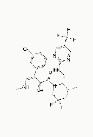 CN/C=C(\C(=N)C(=O)N1CC(F)(F)C[C@@H](C)[C@H]1CNc1ncc(C(F)(F)F)cn1)c1cccc(Cl)c1